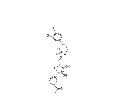 CC(=O)c1ccc[n+]([C@@H]2OC(COP3(=O)OCCC(c4ccc(F)c(Cl)c4)O3)[C@@H](O)[C@H]2O)c1